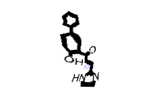 O=C(/C=C/c1ncc[nH]1)c1cc(-c2ccccc2)ccc1O